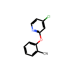 N#Cc1ccccc1Oc1cc(Cl)ccn1